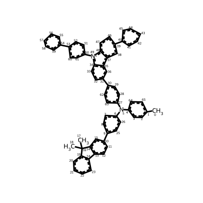 Cc1ccc(N(c2ccc(-c3ccc4c(c3)C(C)(C)c3ccccc3-4)cc2)c2ccc(-c3ccc4c(c3)c3cc(-c5ccccc5)ccc3n4-c3ccc(-c4ccccc4)cc3)cc2)cc1